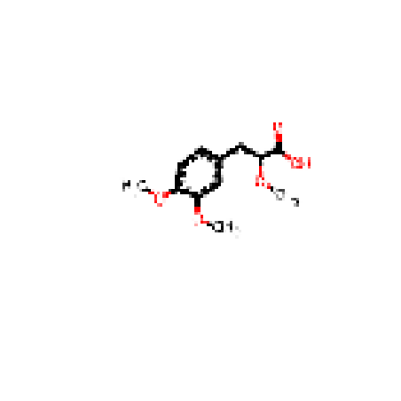 COc1ccc(CC(OC)C(=O)O)cc1OC